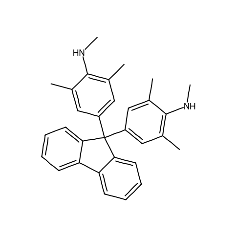 CNc1c(C)cc(C2(c3cc(C)c(NC)c(C)c3)c3ccccc3-c3ccccc32)cc1C